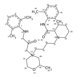 Cc1cccc(C)c1NCC(=O)C[N+]1(CCCCN2CCCCC2C(=O)Nc2c(C)cccc2C)CCOC(C)C1